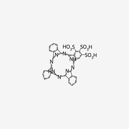 O=S(=O)(O)c1cc2c3nc4nc(nc5[nH]c(nc6nc(nc([nH]3)c2c(S(=O)(=O)O)c1S(=O)(=O)O)-c1ccccc1-6)c1ccccc51)-c1ccccc1-4